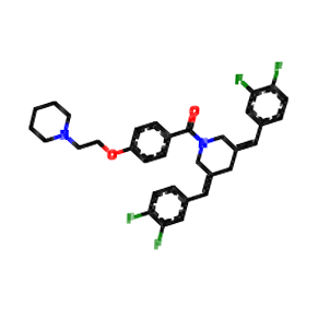 O=C(c1ccc(OCCN2CCCCC2)cc1)N1C/C(=C\c2ccc(F)c(F)c2)C/C(=C/c2ccc(F)c(F)c2)C1